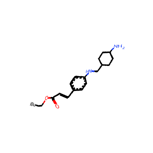 CCC(C)COC(=O)/C=C/c1ccc(NCC2CCC(N)CC2)cc1